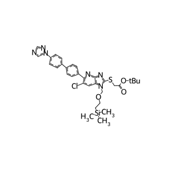 CC(C)(C)OC(=O)CSc1nc2nc(-c3ccc(-c4ccc(-n5cncn5)cc4)cc3)c(Cl)cc2n1COCC[Si](C)(C)C